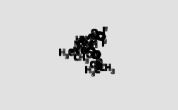 CCN(CC)c1ncc(NCCS(=O)(=O)c2cc(F)cc(F)c2)c(NC(Cc2ccc(OC(=O)N(C)C)cc2)C(=O)O)n1